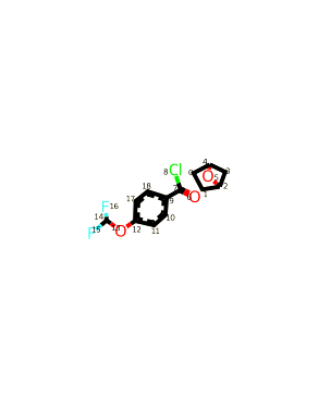 C1CC2CC1O2.O=C(Cl)c1ccc(OC(F)F)cc1